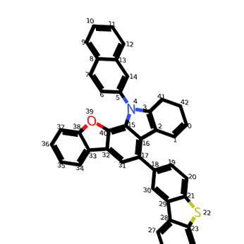 C1=Cc2c(n(-c3ccc4ccccc4c3)c3c2c(-c2ccc4sc5ccccc5c4c2)cc2c4ccccc4oc23)CC1